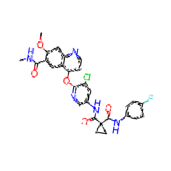 CNC(=O)c1cc2c(Oc3ncc(NC(=O)C4(C(=O)Nc5ccc(F)cc5)CC4)cc3Cl)ccnc2cc1OC